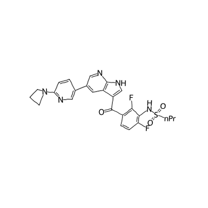 CCCS(=O)(=O)Nc1c(F)ccc(C(=O)c2c[nH]c3ncc(-c4ccc(N5CCC5)nc4)cc23)c1F